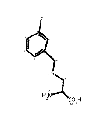 NC(CSCc1cccc(F)c1)C(=O)O